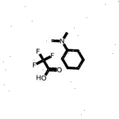 CN(C)C1CCCCC1.O=C(O)C(F)(F)F